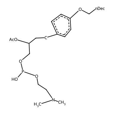 CCCCCCCCCCCOc1ccc(CCC(COP(O)OCCN(C)C)OC(C)=O)cc1